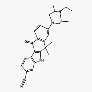 CCN1C(C)CN(c2ccc3c(c2)C(C)(C)c2[nH]c4cc(C#N)ccc4c2C3=O)CC1C